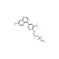 C[C@H](COc1ncc(-c2ccnc3cc(Cl)ccc23)cc1C(F)F)CC(C)(C)N